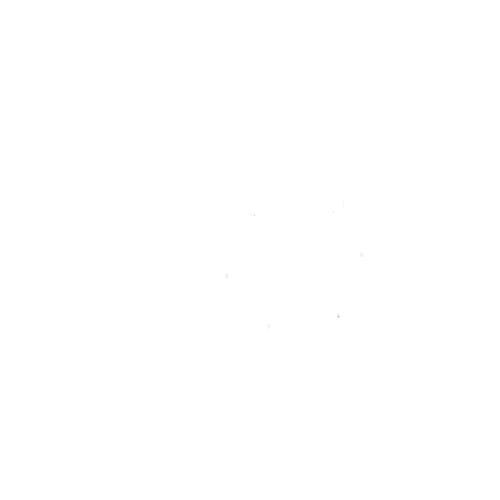 O=C(O)c1c(Br)c(Br)c(Br)c(Br)c1C(=O)OCCO